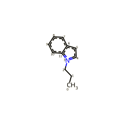 CCCn1ccc2ccccc21